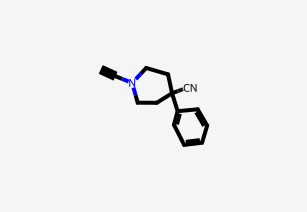 C#CN1CCC(C#N)(c2ccccc2)CC1